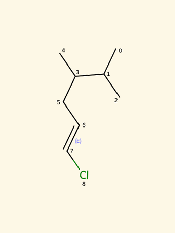 CC(C)C(C)C/C=C/Cl